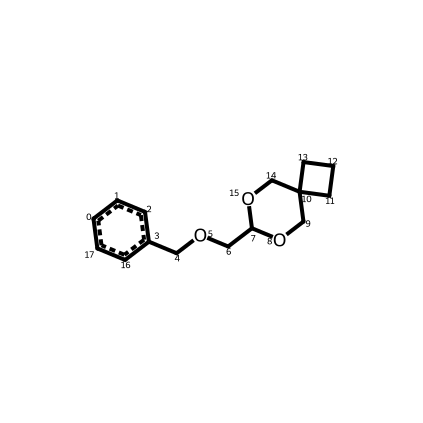 c1ccc(COCC2OCC3(CCC3)CO2)cc1